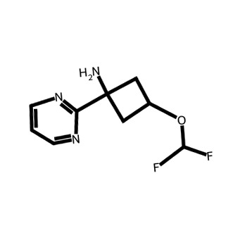 NC1(c2ncccn2)CC(OC(F)F)C1